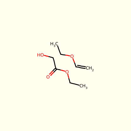 C=COCC.CCOC(=O)CO